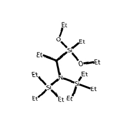 CCO[Si](CC)(OCC)C(CC)N([Si](CC)(CC)CC)[Si](CC)(CC)CC